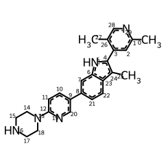 Cc1cc(-c2[nH]c3cc(-c4ccc(N5CCNCC5)nc4)ccc3c2C)c(C)cn1